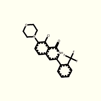 O=c1[nH]c(-c2ccccc2C(F)(F)F)cc2ccc(N3CCOCC3)c(Cl)c12